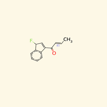 C/C=C/C(=O)C1=CC(F)c2ccccc21